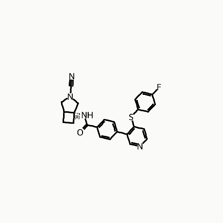 N#CN1CC2CC[C@]2(NC(=O)c2ccc(-c3cnccc3Sc3ccc(F)cc3)cc2)C1